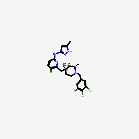 Cc1cc(Nc2ccc(F)c(C[C@@]3(C(=O)O)CCN(Cc4cc(F)c(Cl)c(Cl)c4)[C@H](C)C3)n2)n[nH]1